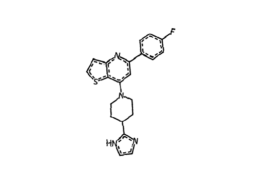 Fc1ccc(-c2cc(N3CCC(c4ncc[nH]4)CC3)c3sccc3n2)cc1